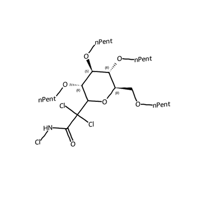 CCCCCOC[C@H]1OC(C(Cl)(Cl)C(=O)NCl)[C@H](OCCCCC)[C@@H](OCCCCC)[C@@H]1OCCCCC